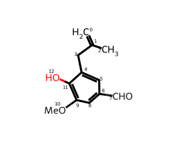 C=C(C)Cc1cc(C=O)cc(OC)c1O